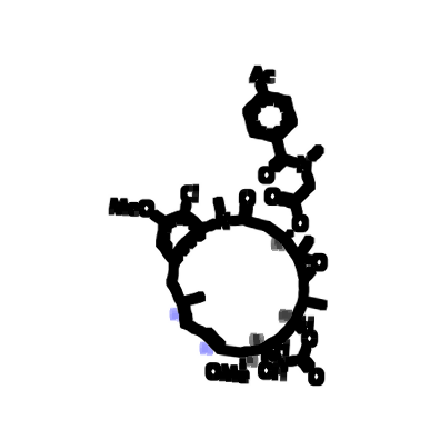 COc1cc2cc(c1Cl)N(C)C(=O)C[C@H](OC(=O)CN(C)C(=O)c1ccc(C(C)=O)cc1)C1(C)OC1C(C)[C@@H]1C[C@@](O)(NC(=O)O1)[C@H](OC)/C=C/C=C(\C)C2